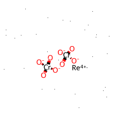 [O]=[Cr](=[O])([O-])[O-].[O]=[Cr](=[O])([O-])[O-].[Re+4]